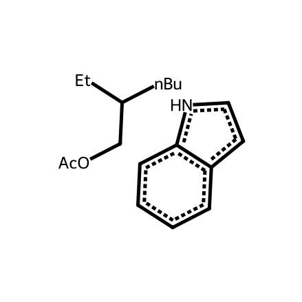 CCCCC(CC)COC(C)=O.c1ccc2[nH]ccc2c1